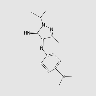 CC1=NN(C(C)C)C(=N)C1=Nc1ccc(N(C)C)cc1